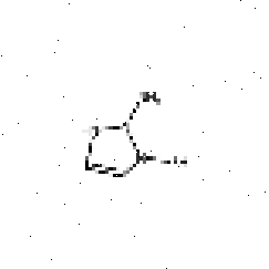 NN1NC=CN1S